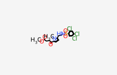 COC(=O)CCC(=O)c1ccc(CCNS(=O)(=O)c2cc(Cl)c(Cl)cc2Cl)n1C